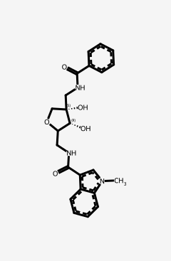 Cn1cc(C(=O)NCC2OC[C@@](O)(CNC(=O)c3ccccc3)[C@@H]2O)c2ccccc21